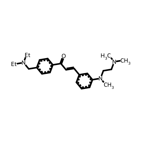 CCN(CC)Cc1ccc(C(=O)/C=C/c2cccc(N(C)CCN(C)C)c2)cc1